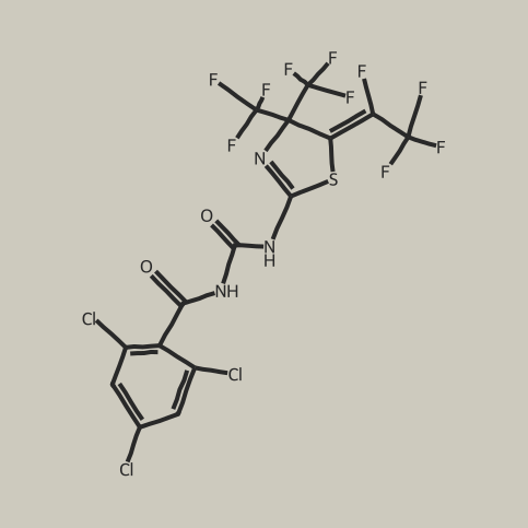 O=C(NC(=O)c1c(Cl)cc(Cl)cc1Cl)NC1=NC(C(F)(F)F)(C(F)(F)F)C(=C(F)C(F)(F)F)S1